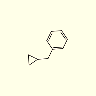 [C](c1ccccc1)C1CC1